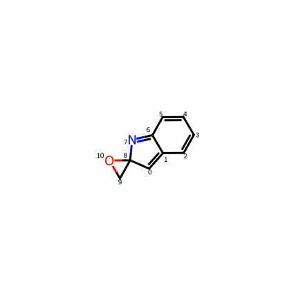 C1=c2ccccc2=NC12CO2